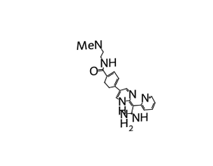 CNCCNC(=O)C1=CC=C(C2=CN/C(=C(\C(=N)N)c3ccccn3)N=C2)CC1